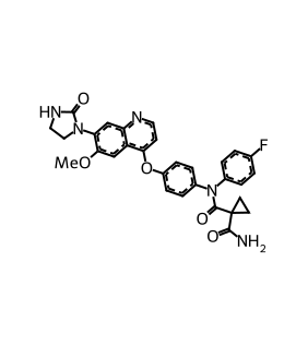 COc1cc2c(Oc3ccc(N(C(=O)C4(C(N)=O)CC4)c4ccc(F)cc4)cc3)ccnc2cc1N1CCNC1=O